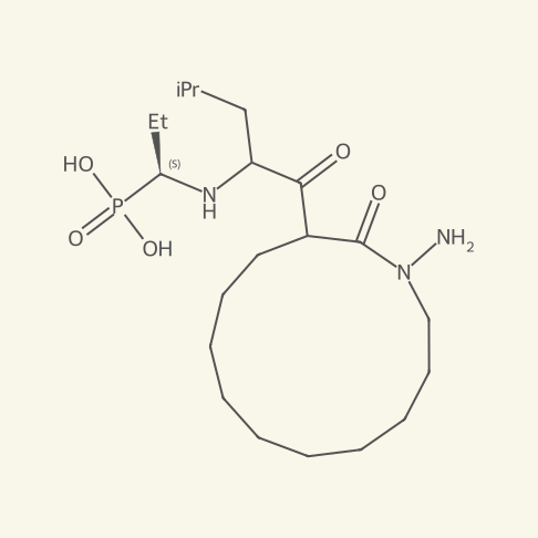 CC[C@@H](NC(CC(C)C)C(=O)C1CCCCCCCCCCN(N)C1=O)P(=O)(O)O